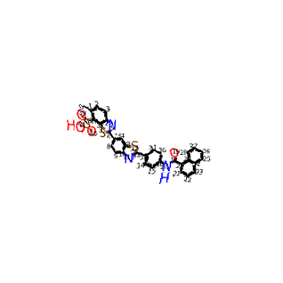 Cc1ccc2nc(-c3ccc4nc(-c5ccc(NC(=O)c6cccc7ccccc67)cc5)sc4c3)sc2c1S(=O)(=O)O